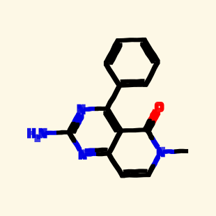 Cn1ccc2nc(N)nc(-c3ccccc3)c2c1=O